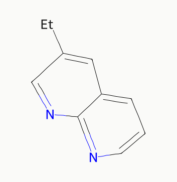 CCc1cnc2ncccc2c1